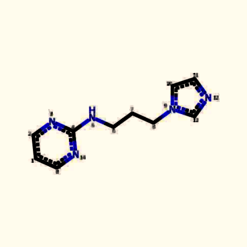 [c]1ccnc(NCCCn2ccnc2)n1